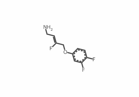 NCC=C(F)COc1ccc(F)c(F)c1